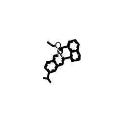 CCOC(=O)c1cccc2cccc(-c3cc4cc(C(C)C)ccc4cn3)c12